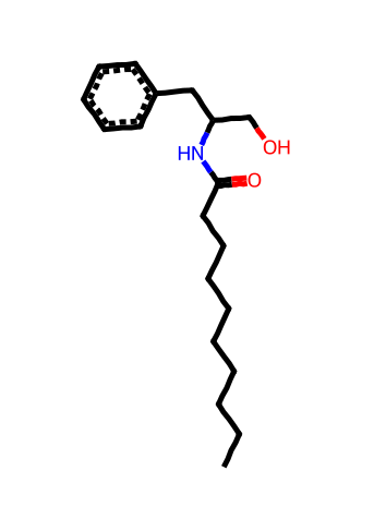 CCCCCCCCCC(=O)NC(CO)Cc1ccccc1